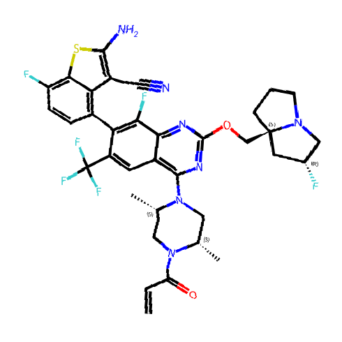 C=CC(=O)N1C[C@H](C)N(c2nc(OC[C@@]34CCCN3C[C@H](F)C4)nc3c(F)c(-c4ccc(F)c5sc(N)c(C#N)c45)c(C(F)(F)F)cc23)C[C@@H]1C